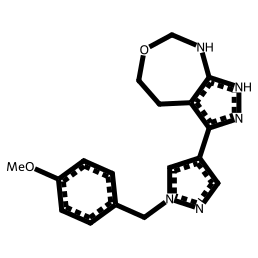 COc1ccc(Cn2cc(-c3n[nH]c4c3CCOCN4)cn2)cc1